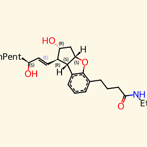 CCCCC[C@H](O)/C=C/[C@@H]1[C@H]2c3cccc(CCCC(=O)NCC)c3O[C@H]2C[C@H]1O